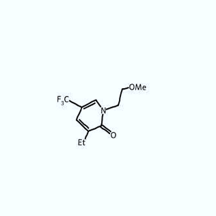 CCc1cc(C(F)(F)F)cn(CCOC)c1=O